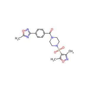 Cc1nc(-c2ccc(C(=O)N3CCN(S(=O)(=O)c4c(C)noc4C)CC3)cc2)no1